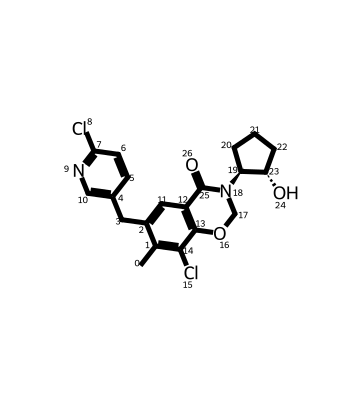 Cc1c(Cc2ccc(Cl)nc2)cc2c(c1Cl)OCN([C@H]1CCC[C@@H]1O)C2=O